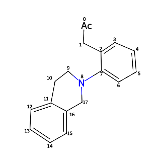 CC(=O)Cc1ccccc1N1CCc2ccccc2C1